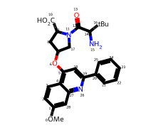 COc1ccc2c(OC3CC(C(=O)O)N(C(=O)C(N)C(C)(C)C)C3)cc(-c3ccccc3)nc2c1